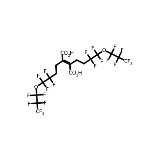 O=C(O)C(CCC(F)(F)C(F)(F)OC(F)(F)C(F)(F)C(F)(F)F)=C(CCC(F)(F)C(F)(F)OC(F)(F)C(F)(F)C(F)(F)F)C(=O)O